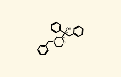 O[C@](Cc1ccccc1)(c1ccccc1)[C@@H]1CN(Cc2ccccc2)CCO1